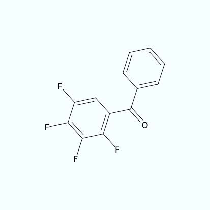 O=C(c1ccccc1)c1cc(F)c(F)c(F)c1F